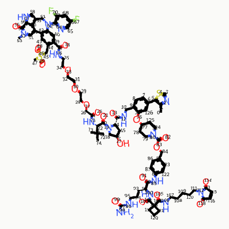 Cc1ncsc1-c1ccc(CNC(=O)[C@@H]2C[C@@H](O)CN2C(=O)[C@@H](NC(=O)COCCOCCOCCNC(=O)c2cc3c(cc2CS(C)(=O)=O)-c2cn(C)c(=O)c4[nH]cc(c24)CN3c2ncc(F)cc2F)C(C)(C)C)c(OC2CCN(C(=O)OCc3ccc(NC(=O)[C@H](CCCNC(N)=O)NC(=O)C4(C(=O)NCCCCCN5C(=O)C=CC5=O)CCC4)cc3)CC2)c1